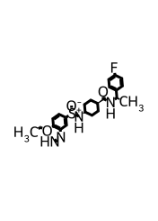 CCOc1ccc([S+]([O-])N[C@H]2CC[C@H](C(=O)N[C@H](C)c3ccc(F)cc3)CC2)cc1N=N